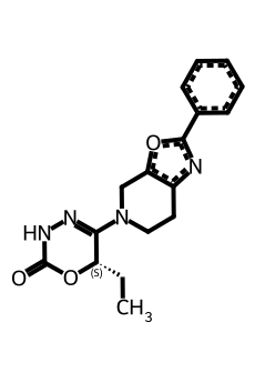 CC[C@@H]1OC(=O)NN=C1N1CCc2nc(-c3ccccc3)oc2C1